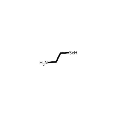 NCC[SeH]